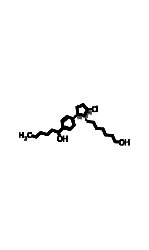 CCCCCC(O)c1ccc([C@H]2CC[C@@H](Cl)[C@@H]2CCCCCCCO)cc1